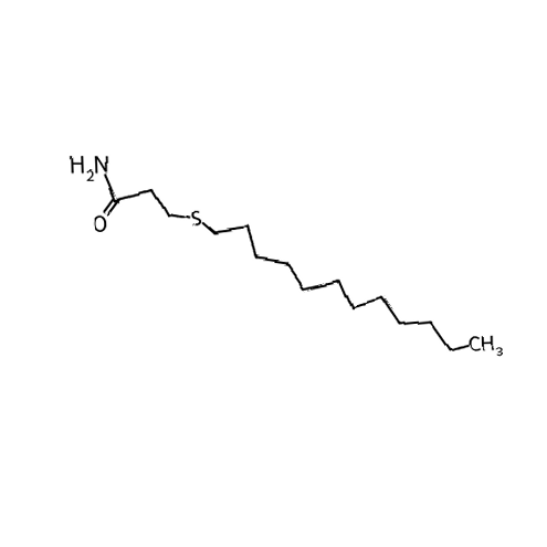 CCCCCCCCCCCCSCCC(N)=O